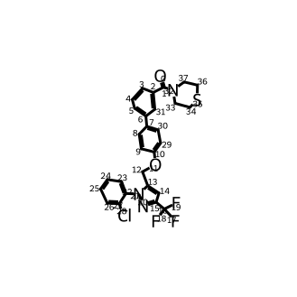 O=C(c1cccc(-c2ccc(OCc3cc(C(F)(F)F)nn3-c3ccccc3Cl)cc2)c1)N1CCSCC1